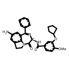 COc1ccc(C(=O)N[C@@H]2N=C(c3ccccc3)c3cc(N)cc4c3N(CC4)C2=O)cc1OC1CCCC1